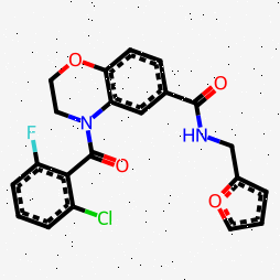 O=C(NCc1ccco1)c1ccc2c(c1)N(C(=O)c1c(F)cccc1Cl)CCO2